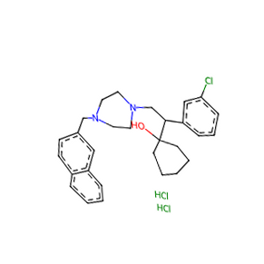 Cl.Cl.OC1(C(CN2CCN(Cc3ccc4ccccc4c3)CC2)c2cccc(Cl)c2)CCCCC1